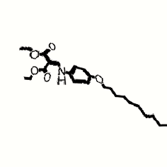 CCCCCCCCCCOc1ccc(NC=C(C(=O)OCC)C(=O)OCC)cc1